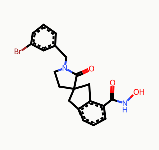 O=C(NO)c1cccc2c1CC1(CCN(Cc3cccc(Br)c3)C1=O)C2